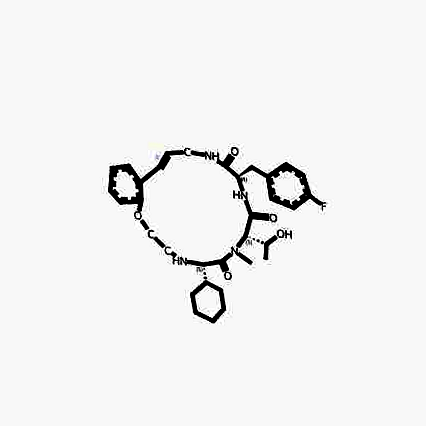 CC(O)[C@H]1C(=O)N[C@H](Cc2ccc(F)cc2)C(=O)NC/C=C/c2ccccc2OCCN[C@@H](C2CCCCC2)C(=O)N1C